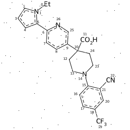 CCn1cccc1-c1ccc(C2(C(=O)O)CCN(c3ccc(C(F)(F)F)cc3C#N)CC2)cn1